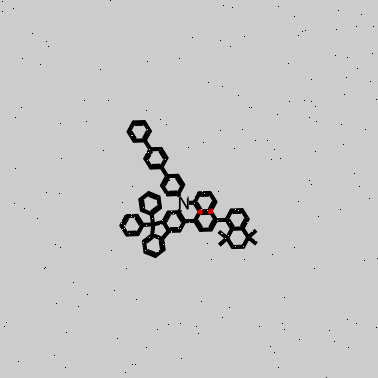 CC1(C)CCC(C)(C)c2c(-c3ccc(-c4cc5c(cc4N(c4ccccc4)c4ccc(-c6ccc(-c7ccccc7)cc6)cc4)C(c4ccccc4)(c4ccccc4)c4ccccc4-5)cc3)cccc21